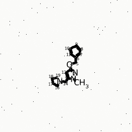 Cn1nc(OCc2ccccc2)cc1CN1CCCC1